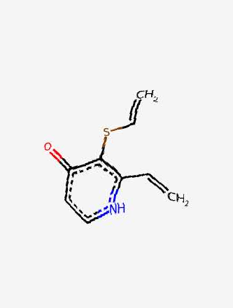 C=CSc1c(C=C)[nH]ccc1=O